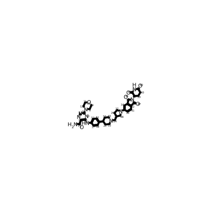 NC(=O)c1nnc(N2CCOCC2)nc1Nc1ccc(C2CCN(CC3CCN(c4ccc5c(c4)C(=O)N(C4CCC(=O)NC4=O)C5=O)C3)CC2)cc1